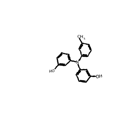 Cc1cccc(N(c2cccc(O)c2)c2cccc(O)c2)c1